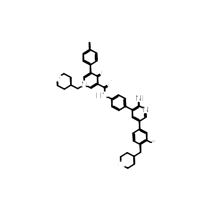 Cc1ccc(-c2cn(CC3CCOCC3)cc(C(=O)Nc3ccc(-c4cc(-c5ccc(CC6CCOCC6)c(F)c5)cnc4N)cc3)c2=O)cc1